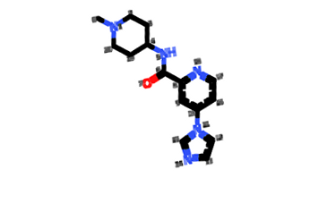 CN1CCC(NC(=O)c2cc(-n3ccnc3)ccn2)CC1